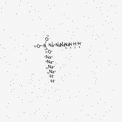 [H-].[H-].[H-].[H-].[H-].[Na+].[Na+].[Na+].[Na+].[Na+].[Na+].[Na+].[Na+].[O-]B([O-])[O-]